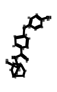 O=C(N[C@H]1CN2CCC1CC2)c1ccc(Oc2ccc(O)cc2)cc1